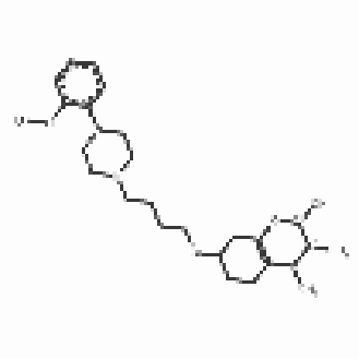 COc1ccccc1N1CCN(CCCCOC2CCC3=C(C2)O[C@@H](O)[C@@H](C)C3C)CC1